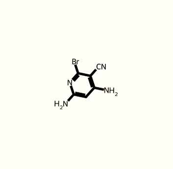 N#Cc1c(N)cc(N)nc1Br